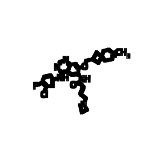 CN1CCC2(CC1)CC(COc1cc3ncnc(Nc4ccc(F)c(Cl)c4)c3cc1NC(=O)C=CCN1CCC1)C2